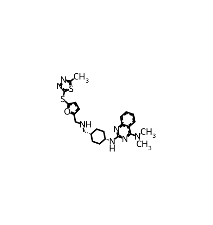 Cc1nnc(Sc2ccc(CNC[C@H]3CC[C@@H](Nc4nc(N(C)C)c5ccccc5n4)CC3)o2)s1